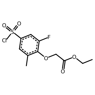 CCOC(=O)COc1c(C)cc(S(=O)(=O)Cl)cc1F